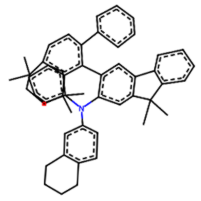 CC1(C)CCC(C)(C)c2c1ccc(-c1ccccc1)c2-c1cc2c(cc1N(c1ccccc1)c1ccc3c(c1)CCCC3)C(C)(C)c1ccccc1-2